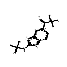 CC(C)(C)Nc1nc2ccc(C(=O)C(C)(C)C)cc2[nH]1